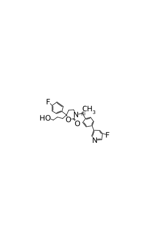 C[C@@H](c1ccc(-c2cncc(F)c2)cc1)N1CCC(CCCO)(c2ccc(F)cc2)OC1=O